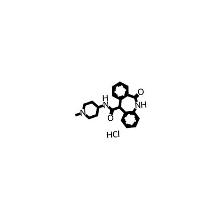 CN1CCC(NC(=O)C2c3ccccc3NC(=O)c3ccccc32)CC1.Cl